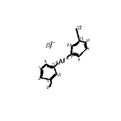 Cc1ccc[c]([Al+][c]2cccc(C)c2)c1.[I-]